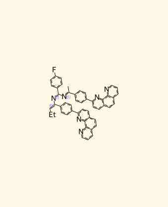 CC/C=C(/N=C(\N=C(/C)c1ccc(-c2ccc3ccc4cccnc4c3n2)cc1)c1ccc(F)cc1)c1ccc(-c2ccc3ccc4cccnc4c3n2)cc1